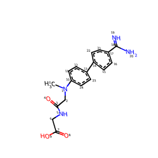 CN(CC(=O)NCC(=O)O)c1ccc(-c2ccc(C(=N)N)cc2)cc1